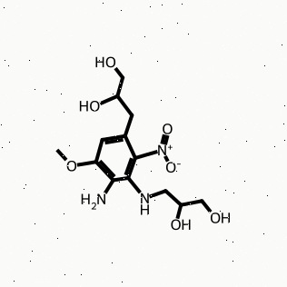 COc1cc(CC(O)CO)c([N+](=O)[O-])c(NCC(O)CO)c1N